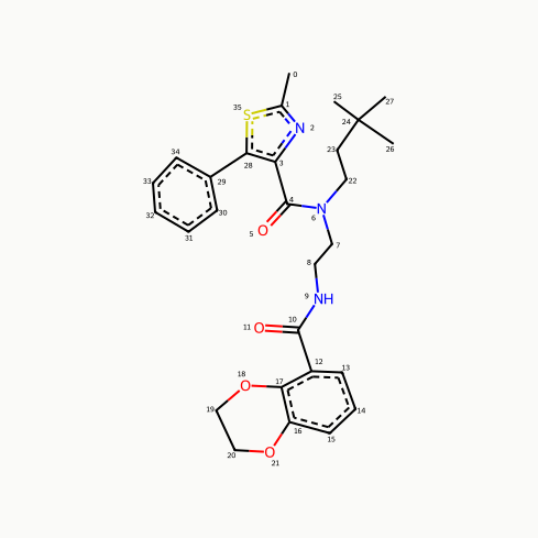 Cc1nc(C(=O)N(CCNC(=O)c2cccc3c2OCCO3)CCC(C)(C)C)c(-c2ccccc2)s1